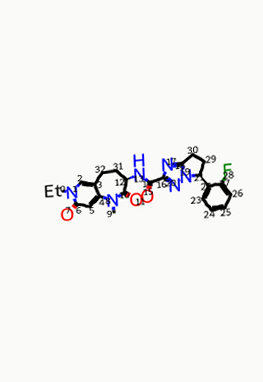 CCn1cc2c(cc1=O)N(C)C(=O)[C@H](NC(=O)c1nc3n(n1)[C@H](c1ccccc1F)CC3)CC2